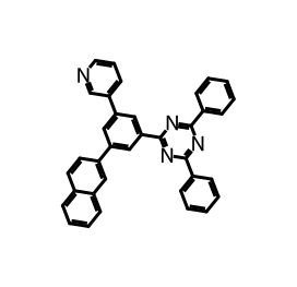 c1ccc(-c2nc(-c3ccccc3)nc(-c3cc(-c4cccnc4)cc(-c4ccc5ccccc5c4)c3)n2)cc1